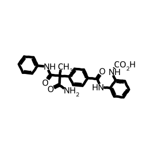 CC(C(N)=O)(C(=O)Nc1ccccc1)c1ccc(C(=O)Nc2ccccc2NC(=O)O)cc1